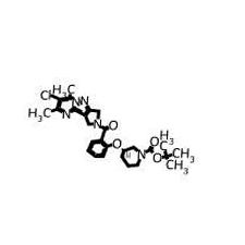 Cc1nc2c3c(nn2c(C)c1Cl)CN(C(=O)c1ccccc1O[C@H]1CCCN(C(=O)OC(C)(C)C)C1)C3